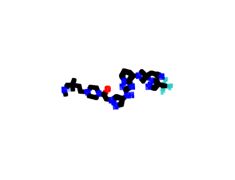 C/N=C\C(C)(C)CCN1CCN(C(=O)Cn2cc(Nc3nc4c(N5CC(CC#N)(n6cc(C(F)(F)F)cn6)C5)cccn4n3)cn2)CC1